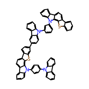 c1cc(-n2c3ccccc3c3cc(-c4ccc5c(c4)sc4c5ccc5c6ccccc6n(-c6ccc(-n7c8ccccc8c8ccccc87)cc6)c54)ccc32)cc(-n2c3ccccc3c3ccc4c5ccccc5sc4c32)c1